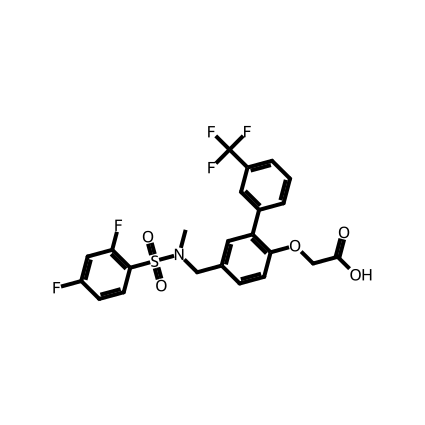 CN(Cc1ccc(OCC(=O)O)c(-c2cccc(C(F)(F)F)c2)c1)S(=O)(=O)c1ccc(F)cc1F